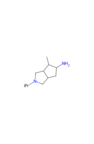 CC1C(N)CC2CN(C(C)C)CC21